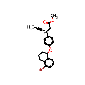 CC#C[C@@H](CC(=O)OC)c1ccc(OC2CCCc3c(Br)cccc32)cc1